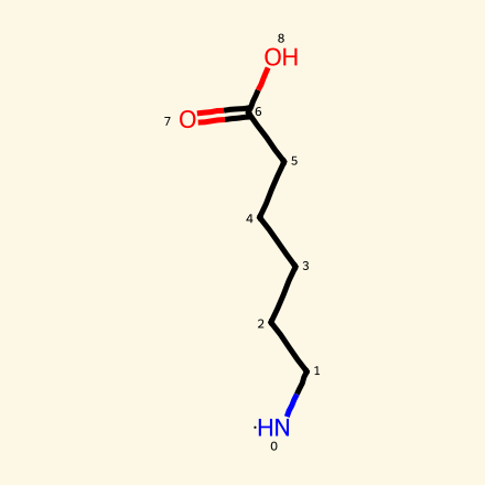 [NH]CCCCCC(=O)O